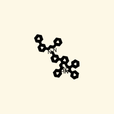 C1=C(c2ccccc2)N2NC(c3ccccc3)C(c3ccccc3)=C2c2cccc(-c3cccc(-c4nc(-c5ccccc5)cc(-c5cccc(-c6ccccc6)c5)n4)c3)c21